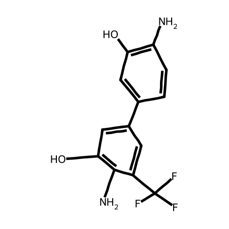 Nc1ccc(-c2cc(O)c(N)c(C(F)(F)F)c2)cc1O